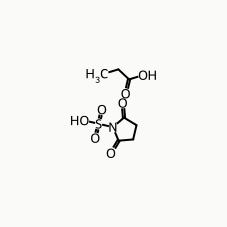 CCC(=O)O.O=C1CCC(=O)N1S(=O)(=O)O